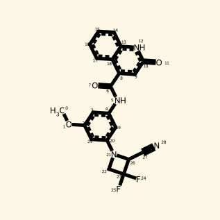 COc1cc(NC(=O)c2cc(=O)[nH]c3ccccc23)cc(N2CC(F)(F)C2C#N)c1